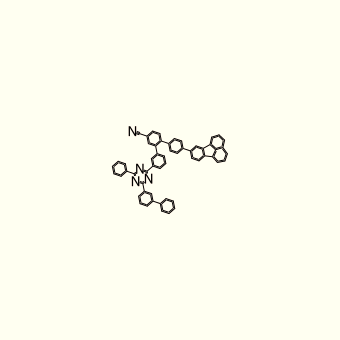 N#Cc1ccc(-c2ccc(-c3ccc4c(c3)-c3cccc5cccc-4c35)cc2)c(-c2cccc(-c3nc(-c4ccccc4)nc(-c4cccc(-c5ccccc5)c4)n3)c2)c1